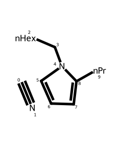 C#N.CCCCCCCn1cccc1CCC